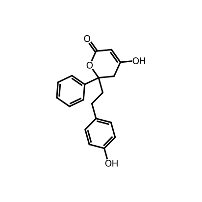 O=C1C=C(O)CC(CCc2ccc(O)cc2)(c2ccccc2)O1